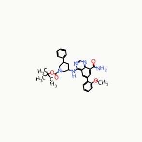 COc1ccccc1-c1cc(C(N)=O)c2ncnc(NC3CC(c4ccccc4)CN(C(=O)OC(C)(C)C)C3)c2c1